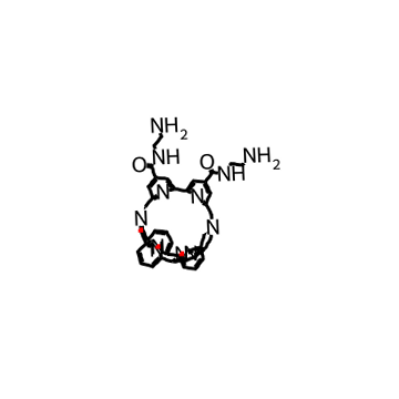 NCCNC(=O)c1cc2nc(c1)-c1cc(C(=O)NCCN)cc(n1)C[N@@]1Cc3cccc(n3)-c3ccc(cn3)C[N@](Cc3cccc(n3)-c3cccc(n3)C1)C2